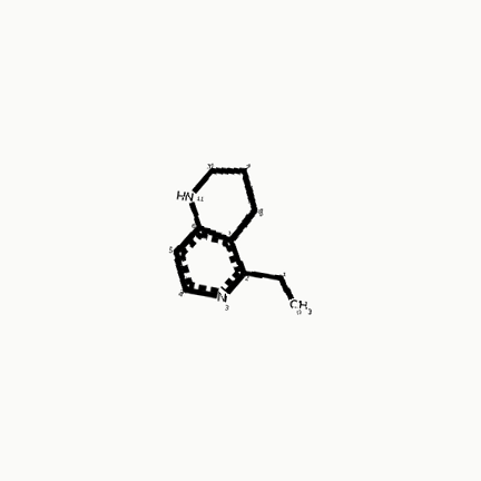 CCc1nccc2c1CCCN2